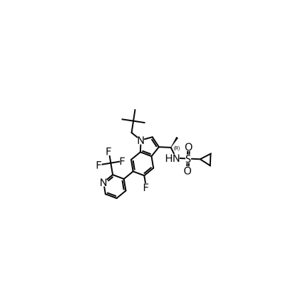 C[C@@H](NS(=O)(=O)C1CC1)c1cn(CC(C)(C)C)c2cc(-c3cccnc3C(F)(F)F)c(F)cc12